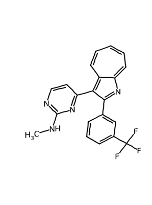 CNc1nccc(-c2c3cccccc-3nc2-c2cccc(C(F)(F)F)c2)n1